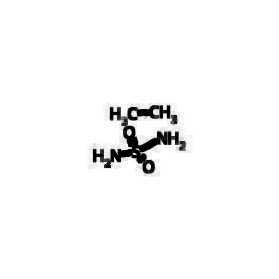 CC.NS(N)(=O)=O